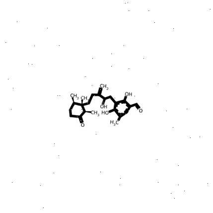 C=C(CC[C@@]1(C)[C@H](C)CCC(=O)[C@@H]1C)C(O)Cc1c(O)c(C)cc(C=O)c1O